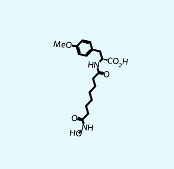 COc1ccc(C[C@H](NC(=O)CCCCCCC(=O)NO)C(=O)O)cc1